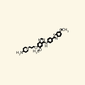 COc1ccc2nc(-c3ccc(Nc4ncnc5cc(OCCCN6CCC(N)CC6)c(OC)cc45)cc3)sc2c1